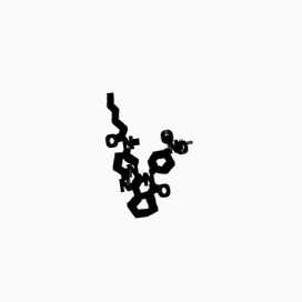 CCCCCC(=O)N(C)c1ccc2nc3c4ccccc4c(=O)n(-c4ccc([N+](=O)[O-])cc4)c3n2c1